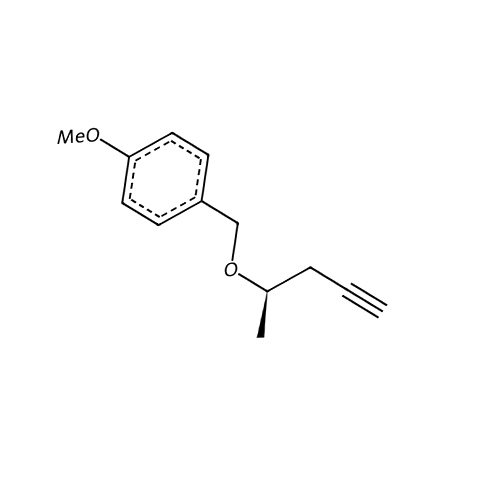 C#CC[C@@H](C)OCc1ccc(OC)cc1